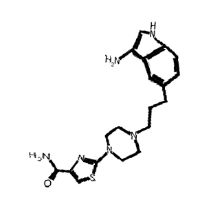 NC(=O)c1csc(N2CCN(CCCc3ccc4[nH]cc(N)c4c3)CC2)n1